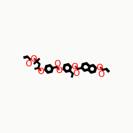 C=CC(=O)Oc1ccc2cc(C(=O)Oc3ccc(OC(=O)c4ccc(OC(C)CC(C)(C)OC(=O)C=C)cc4)cc3CC)ccc2c1